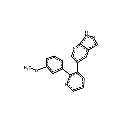 COc1cccc(-c2ncccc2-c2cnc3[nH]ncc3c2)c1